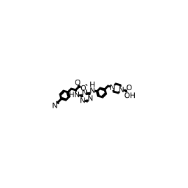 COC(=O)C(Cc1ccc(C#N)cc1)Nc1ncnc(Nc2cccc(CN3CCN(C(=O)O)CC3)c2)n1